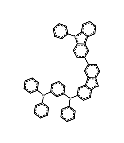 c1ccc(N(c2ccccc2)c2cccc(N(c3ccccc3)c3ccc4sc5ccc(-c6ccc7c(c6)c6ccccc6n7-c6ccccc6)cc5c4c3)c2)cc1